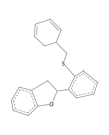 [c]1cccc(C2Cc3ccccc3O2)c1SCC1C=CC=CC1